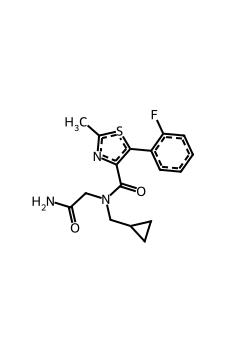 Cc1nc(C(=O)N(CC(N)=O)CC2CC2)c(-c2ccccc2F)s1